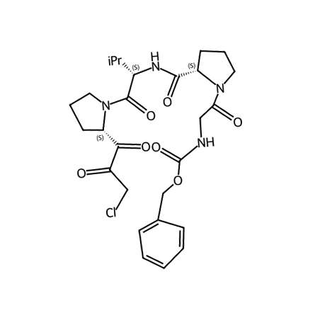 CC(C)[C@H](NC(=O)[C@@H]1CCCN1C(=O)CNC(=O)OCc1ccccc1)C(=O)N1CCC[C@H]1C(=O)C(=O)CCl